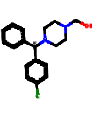 OCN1CCN([C@H](c2ccccc2)c2ccc(Cl)cc2)CC1